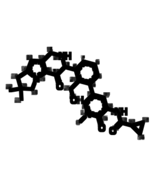 Cn1cc(-c2cccc(C3NCc4cc5n(c4C3=O)CC(C)(C)C5)c2CO)cc(NC(=O)C2CC2)c1=O